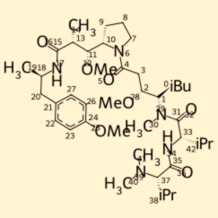 CC[C@H](C)[C@@H]([C@@H](CC(=O)N1CCC[C@H]1[C@H](OC)[C@@H](C)C(=O)N[C@H](C)Cc1ccc(OC)cc1)OC)N(C)C(=O)[C@@H](NC(=O)[C@H](C(C)C)N(C)C)C(C)C